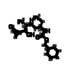 CC(C)C[C@H](CN[C@@H](C(C)C)C(O)C1CC1=O)NC(=O)OCC1CCCCC1